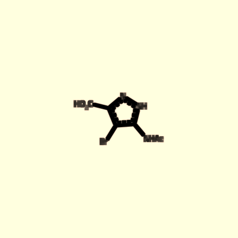 CC(=O)Nc1[nH]nc(C(=O)O)c1Br